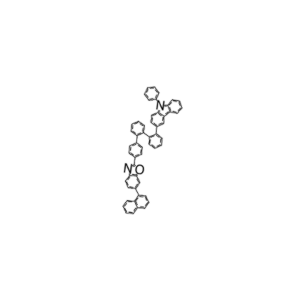 c1ccc(-n2c3ccccc3c3cc(-c4ccccc4-c4ccccc4-c4ccc(-c5nc6ccc(-c7cccc8ccccc78)cc6o5)cc4)ccc32)cc1